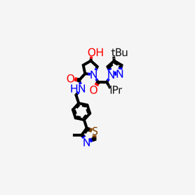 Cc1ncsc1-c1ccc(CNC(=O)C2CC(O)CN2C(=O)C(C(C)C)n2cc(C(C)(C)C)cn2)cc1